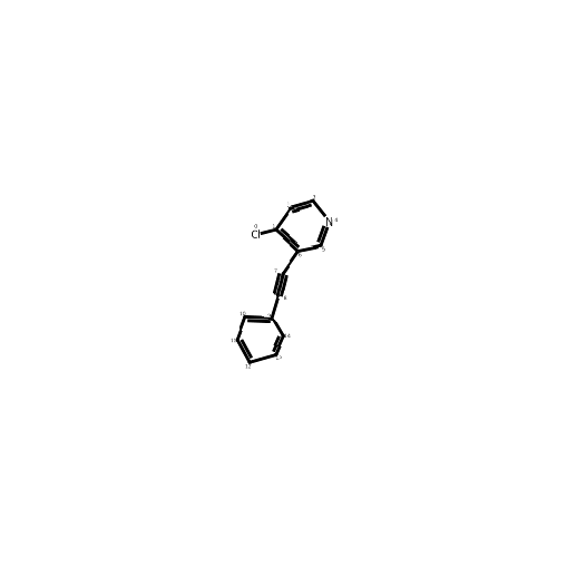 Clc1ccncc1C#Cc1ccccc1